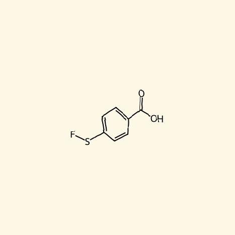 O=C(O)c1ccc(SF)cc1